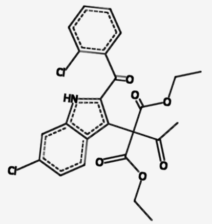 CCOC(=O)C(C(C)=O)(C(=O)OCC)c1c(C(=O)c2ccccc2Cl)[nH]c2cc(Cl)ccc12